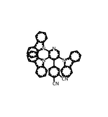 N#Cc1ccc(-c2c(-n3c4ccccc4c4ccccc43)cnc(-n3c4ccccc4c4ccccc43)c2-n2c3ccccc3c3ccccc32)cc1C#N